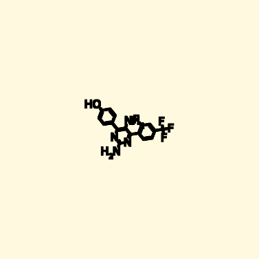 Nc1nc(-c2ccc(O)cc2)c(N)c(-c2ccc(C(F)(F)F)cc2F)n1